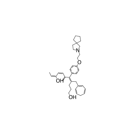 C=C(/C=C\C(O)=C/C)/C(=C(\CCCO)CC1=CC=CCC=C1)c1ccc(OCCN2CCC3(CCCC3)C2)cc1